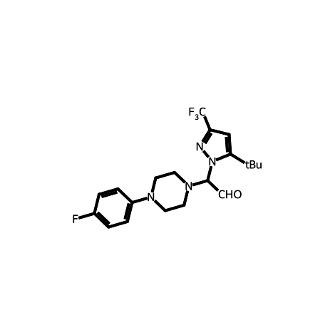 CC(C)(C)c1cc(C(F)(F)F)nn1C(C=O)N1CCN(c2ccc(F)cc2)CC1